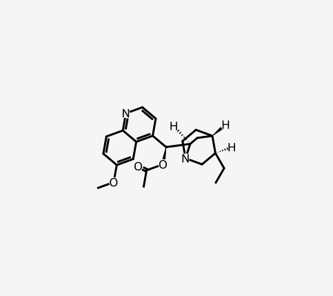 CC[C@H]1CN2CC[C@H]1C[C@@H]2[C@@H](OC(C)=O)c1ccnc2ccc(OC)cc12